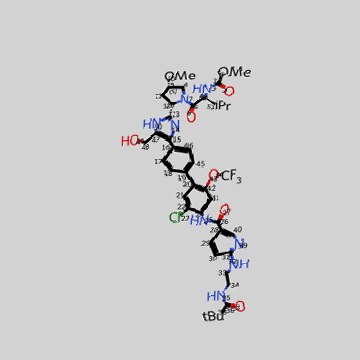 COC(=O)N[C@H](C(=O)N1C[C@@H](OC)C[C@H]1c1nc(-c2ccc(-c3cc(Cl)c(NC(=O)c4ccc(NCCNC(=O)C(C)(C)C)nc4)cc3OC(F)(F)F)cc2)c(CO)[nH]1)C(C)C